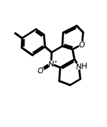 Cc1ccc(C2C3=C(OCC=C3)C3=C(CCCN3)[N+]2=O)cc1